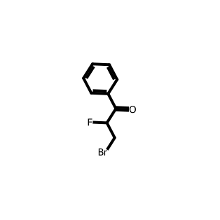 O=C(c1ccccc1)C(F)CBr